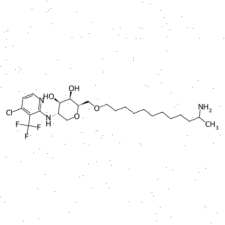 CC(N)CCCCCCCCCCOC[C@H]1OC[C@H](Nc2nccc(Cl)c2C(F)(F)F)[C@@H](O)[C@H]1O